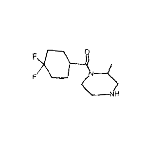 CC1CNCCN1C(=O)C1CCC(F)(F)CC1